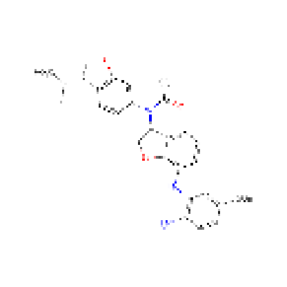 COc1ccc(N)c(Nc2cccc3c2OC[C@H]3N(C(=O)C(F)(F)F)c2ccc3c(c2)OC[C@H]3C(C)C(=O)O)c1